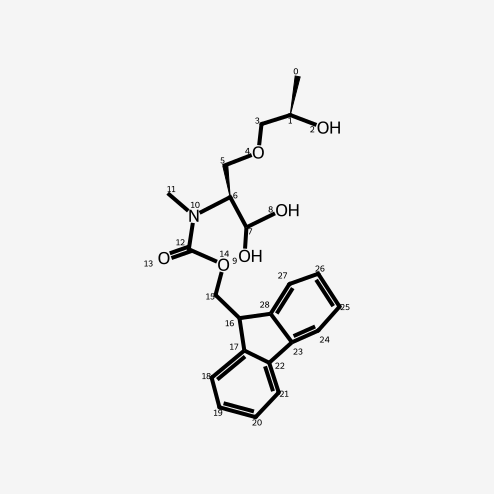 C[C@@H](O)COC[C@@H](C(O)O)N(C)C(=O)OCC1c2ccccc2-c2ccccc21